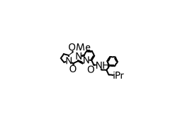 COC[C@@H]1CCCN1C(=O)c1cn2c(C(=O)NCC(CC(C)C)c3ccccc3)cccc2n1